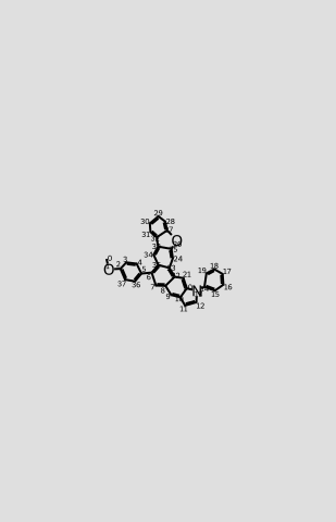 COc1ccc(-c2cc3cc4ccn(-c5ccccc5)c4cc3c3cc4oc5ccccc5c4cc23)cc1